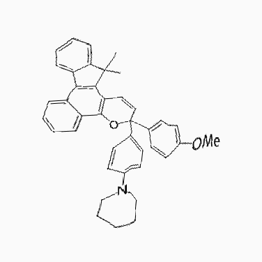 COc1ccc(C2(c3ccc(N4CCCCC4)cc3)C=Cc3c4c(c5ccccc5c3O2)-c2ccccc2C4(C)C)cc1